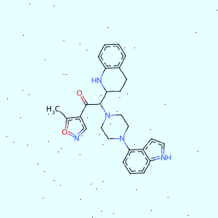 Cc1oncc1C(=O)C(C1CCc2ccccc2N1)N1CCN(c2cccc3[nH]ccc23)CC1